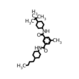 CCCCC1CCC(NC(=O)c2cc(C)cc(C(=O)NC3CCC(C(C)(C)C)CC3)c2)CC1